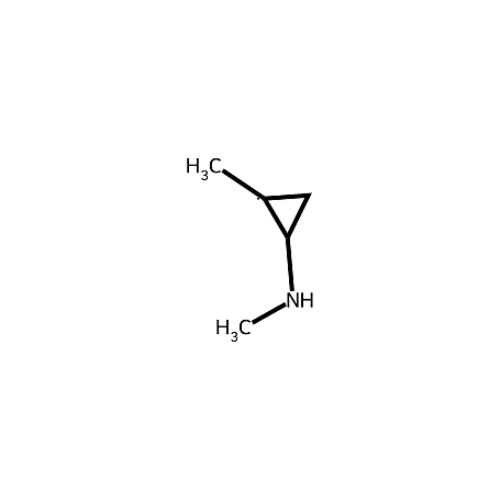 CNC1C[C]1C